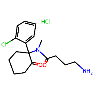 CN(C(=O)CCCN)C1(c2ccccc2Cl)CCCCC1=O.Cl